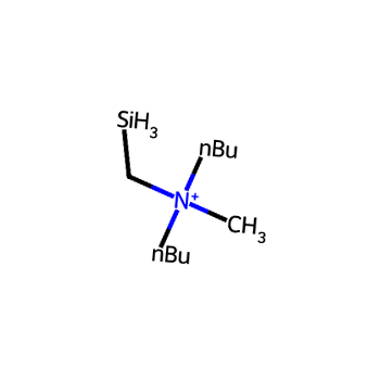 CCCC[N+](C)(C[SiH3])CCCC